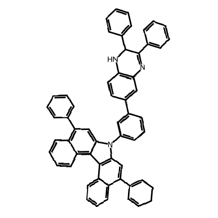 C1=CC(c2cc3c(c4ccccc24)c2c4ccccc4c(-c4ccccc4)cc2n3-c2cccc(-c3ccc4c(c3)N=C(c3ccccc3)C(c3ccccc3)N4)c2)=CCC1